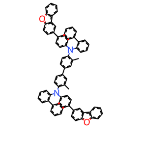 Cc1cc(-c2ccc(N(c3ccc(-c4ccc5oc6ccccc6c5c4)cc3)c3ccccc3-c3ccccc3)c(C)c2)ccc1N(c1ccc(-c2ccc3oc4ccccc4c3c2)cc1)c1ccccc1-c1ccccc1